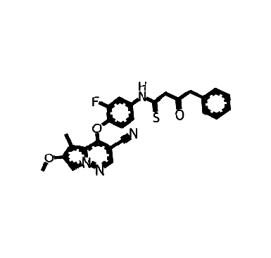 COc1cn2ncc(C#N)c(Oc3ccc(NC(=S)CC(=O)Cc4ccccc4)cc3F)c2c1C